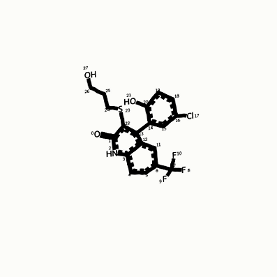 O=c1[nH]c2ccc(C(F)(F)F)cc2c(-c2cc(Cl)ccc2O)c1SCCCO